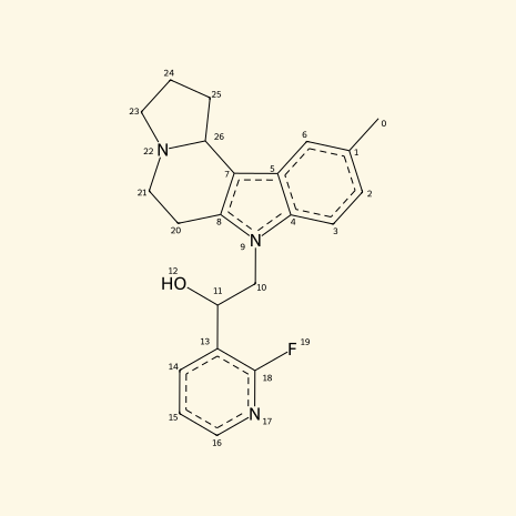 Cc1ccc2c(c1)c1c(n2CC(O)c2cccnc2F)CCN2CCCC12